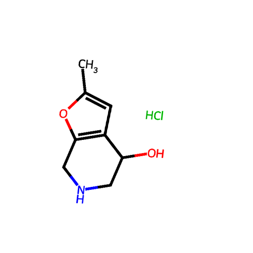 Cc1cc2c(o1)CNCC2O.Cl